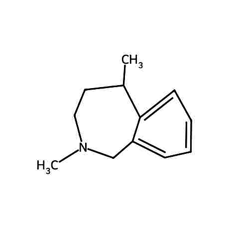 CC1CCN(C)Cc2ccccc21